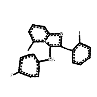 Cc1cccc2nc(-c3ccccc3I)c(Nc3ccc(F)cc3)n12